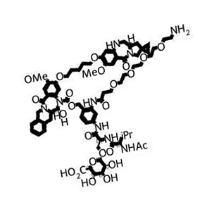 COc1cc2c(cc1OCCCCCOc1cc3c(cc1OC)C(=O)N1Cc4ccccc4C[C@H]1[C@H](O)N3C(=O)OCc1ccc(NC(=O)[C@H](CO[C@@H]3O[C@H](C(=O)O)[C@@H](O)[C@H](O)[C@H]3O)NC(=O)[C@@H](NC(C)=O)C(C)C)cc1NC(=O)CCOCCOCCOCCOCCN)NC[C@@H]1CC3(CC3)CN1C2=O